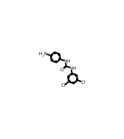 Nc1ccc(NC(=O)Nc2cc(Cl)cc(Cl)c2)cc1